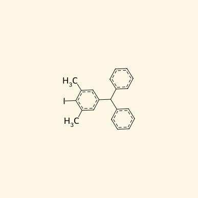 Cc1cc(C(c2ccccc2)c2ccccc2)cc(C)c1I